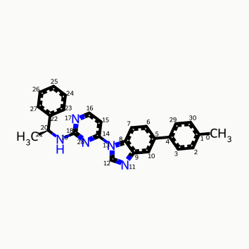 Cc1ccc(-c2ccc3c(c2)ncn3-c2ccnc(N[C@@H](C)c3ccccc3)n2)cc1